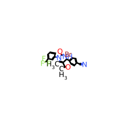 CC(=O)C1=C(C)N(c2cccc(C(F)(F)F)c2)C(=O)NC1c1ccc(C#N)cc1Br